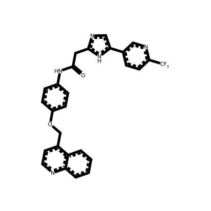 O=C(Cc1ncc(-c2ccc(C(F)(F)F)nc2)[nH]1)Nc1ccc(OCc2ccnc3ccccc23)cc1